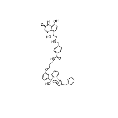 O=C(NCCCOc1cccc([C@@](O)(C(=O)O)c2ccccc2[C@H]2CCN(Cc3ccccc3)C2)c1)c1ccc(CNC[C@H](O)c2ccc(O)c3[nH]c(=O)ccc23)cc1